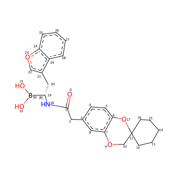 O=C(Cc1ccc2c(c1)OCC1(CCCCC1)O2)N[C@@H](Cc1coc2ccccc12)B(O)O